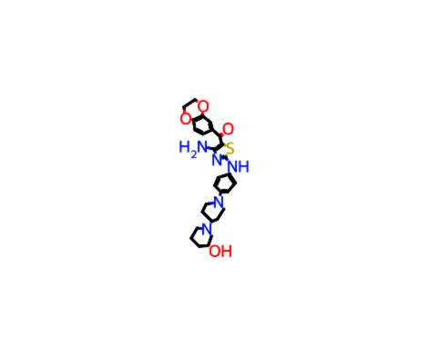 Nc1nc(Nc2ccc(N3CCC(N4CCCC(O)C4)CC3)cc2)sc1C(=O)c1ccc2c(c1)OCCO2